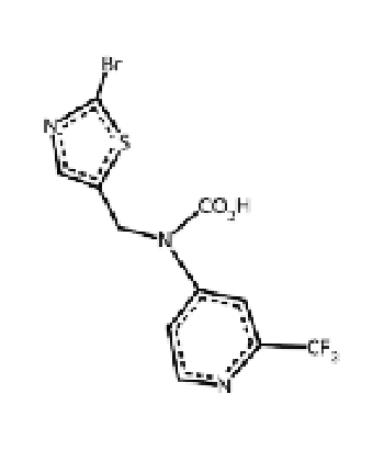 O=C(O)N(Cc1cnc(Br)s1)c1ccnc(C(F)(F)F)c1